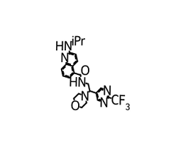 CC(C)Nc1ccc2c(C(=O)NCC(c3cnc(C(F)(F)F)nc3)N3CCOCC3)cccc2n1